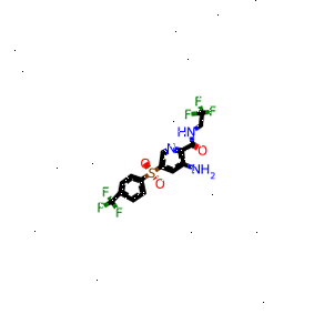 Nc1cc(S(=O)(=O)c2ccc(C(F)(F)F)cc2)cnc1C(=O)NCC(F)(F)F